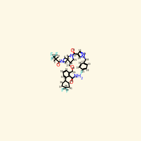 CC(C)(C(=O)N1CC2(CN(C(=O)c3cnn(Cc4ccc(F)cc4)c3)C[C@H]2COCc2cccc(C3CCC(F)(F)CC3)c2C(N)=O)C1)C(F)(F)F